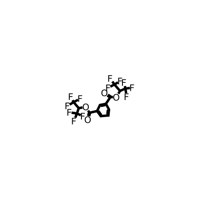 O=C(OC(C(F)(F)F)C(F)(F)F)c1cccc(C(=O)OC(C(F)(F)F)C(F)(F)F)c1